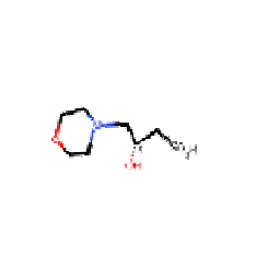 O=S(=O)(O)C[C@H](O)CN1CCOCC1